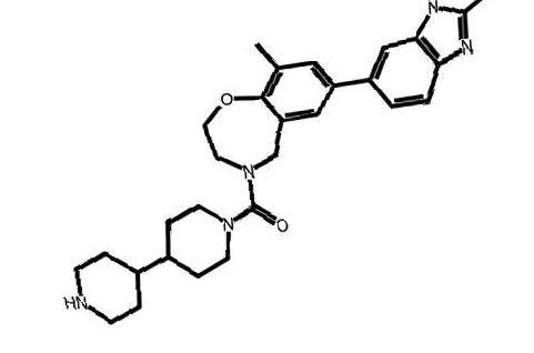 Cc1nc2ccc(-c3cc(C)c4c(c3)CN(C(=O)N3CCC(C5CCNCC5)CC3)CCO4)cc2[nH]1